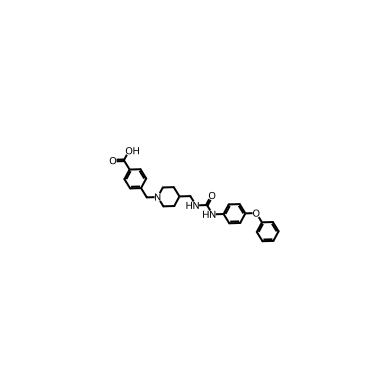 O=C(NCC1CCN(Cc2ccc(C(=O)O)cc2)CC1)Nc1ccc(Oc2ccccc2)cc1